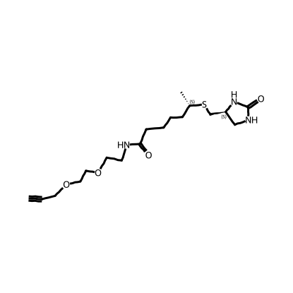 C#CCOCCOCCNC(=O)CCCC[C@H](C)SC[C@@H]1CNC(=O)N1